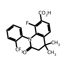 CC1(C)CC(=O)N(c2ccccc2C(F)(F)F)c2c1ccc(C(=O)O)c2F